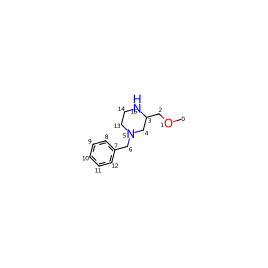 COCC1CN(Cc2ccccc2)CCN1